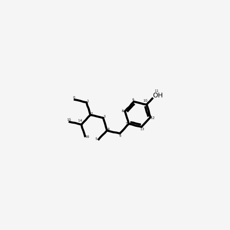 CCC(CC(C)Cc1ccc(O)cc1)C(C)C